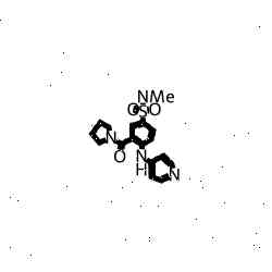 CNS(=O)(=O)c1ccc(Nc2ccncc2)c(C(=O)N2CCCC2)c1